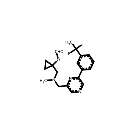 CN(Cc1cncc(-c2cccc(C(C)(F)F)c2)n1)CC1(OC=O)CC1